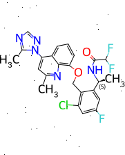 Cc1cc(-n2ncnc2C)c2cccc(OCc3c(Cl)cc(F)cc3[C@H](C)NC(=O)C(F)F)c2n1